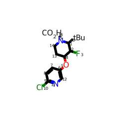 CC(C)(C)C1C(F)C(Oc2ccc(Cl)nc2)CCN1C(=O)O